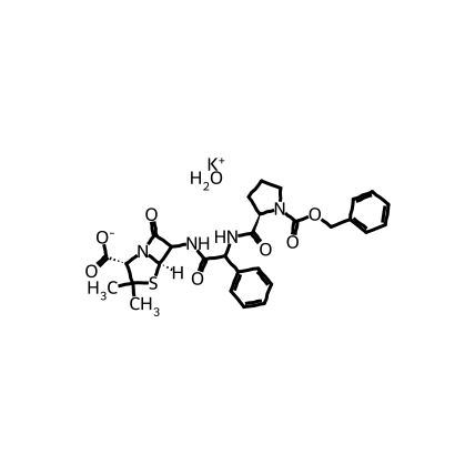 CC1(C)S[C@@H]2C(NC(=O)C(NC(=O)[C@H]3CCCN3C(=O)OCc3ccccc3)c3ccccc3)C(=O)N2[C@H]1C(=O)[O-].O.[K+]